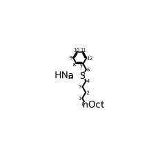 CCCCCCCCCCCCSCc1ccccc1.[NaH]